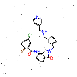 O=C(Nc1cccc2c1CN(Cc1cccc(CNCc3ccncc3)c1)C2=O)C1=CC(Cl)=CCC1=S